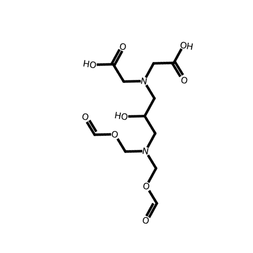 O=COCN(COC=O)CC(O)CN(CC(=O)O)CC(=O)O